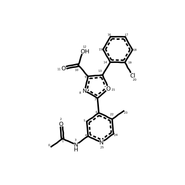 CC(=O)Nc1cc(-c2nc(C(=O)O)c(-c3ccccc3Cl)o2)c(C)cn1